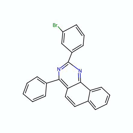 Brc1cccc(-c2nc(-c3ccccc3)c3ccc4ccccc4c3n2)c1